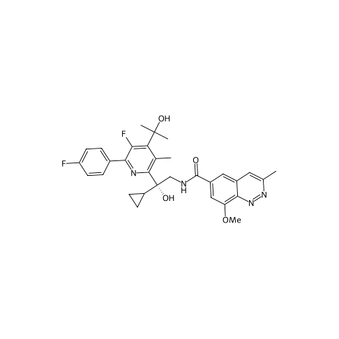 COc1cc(C(=O)NC[C@](O)(c2nc(-c3ccc(F)cc3)c(F)c(C(C)(C)O)c2C)C2CC2)cc2cc(C)nnc12